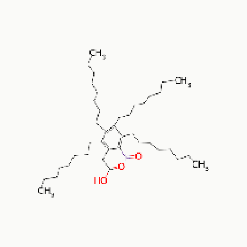 CCCCCCCCc1c(CCCCCCCC)c(CCCCCCCC)c(I=O)c(CC(=O)O)c1CCCCCCCC